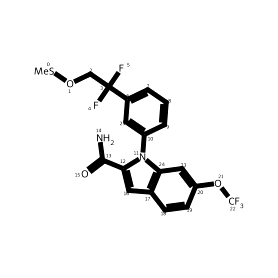 CSOCC(F)(F)c1cccc(-n2c(C(N)=O)cc3ccc(OC(F)(F)F)cc32)c1